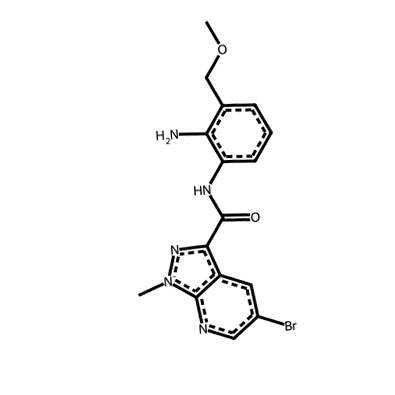 COCc1cccc(NC(=O)c2nn(C)c3ncc(Br)cc23)c1N